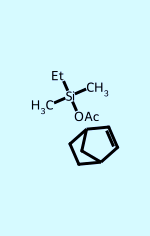 C1=CC2CCC1C2.CC[Si](C)(C)OC(C)=O